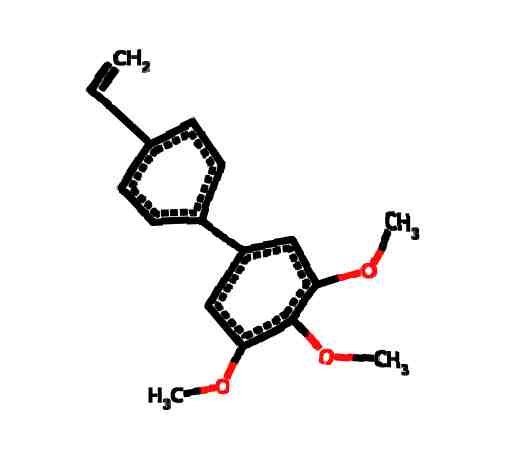 C=Cc1ccc(-c2cc(OC)c(OC)c(OC)c2)cc1